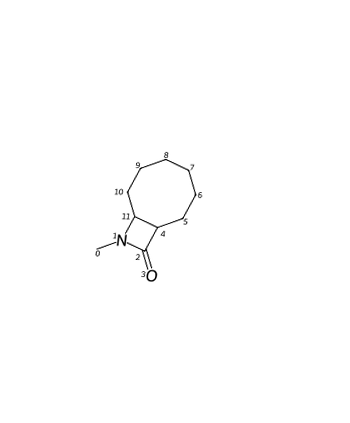 CN1C(=O)C2CCCCCCC21